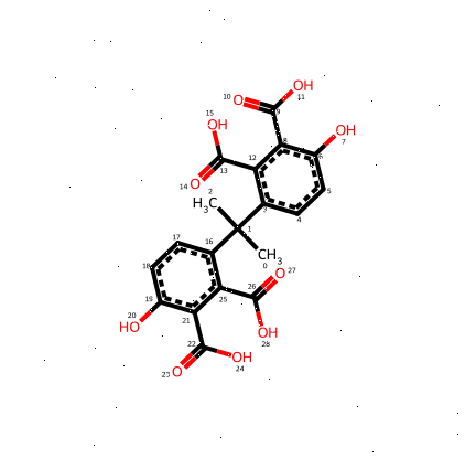 CC(C)(c1ccc(O)c(C(=O)O)c1C(=O)O)c1ccc(O)c(C(=O)O)c1C(=O)O